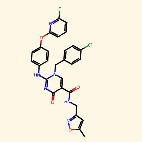 Cc1cc(CNC(=O)c2cn(Cc3ccc(Cl)cc3)c(Nc3ccc(Oc4cccc(F)n4)cc3)nc2=O)no1